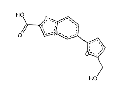 O=C(O)c1cn2cc(-c3ccc(CO)o3)ccc2n1